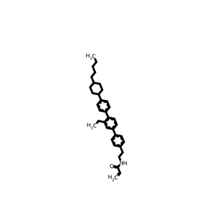 C=CC(=O)NCCc1ccc(-c2ccc(-c3ccc(C4CCC(CCCCC)CC4)cc3)c(CC)c2)cc1